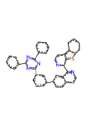 c1ccc(-c2nc(-c3ccccc3)nc(-c3cccc(-c4ccc5ccnc(-c6nccc7c6sc6ccccc67)c5c4)c3)n2)cc1